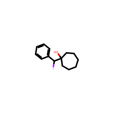 OC1(C(I)c2ccccc2)CCCCCC1